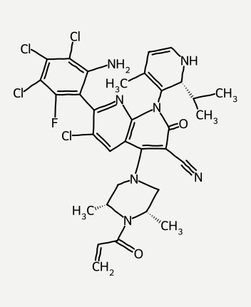 C=CC(=O)N1[C@H](C)CN(c2c(C#N)c(=O)n(C3=C(C)C=CN[C@@H]3C(C)C)c3nc(-c4c(N)c(Cl)c(Cl)c(Cl)c4F)c(Cl)cc23)C[C@@H]1C